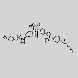 CCCCCCCOc1ccc(C(=O)OC2=CC=C([C@H](NC(=O)c3ccc(NC(=O)Cc4ccc(OC)cc4)cc3)C(=O)O)CC2)cc1